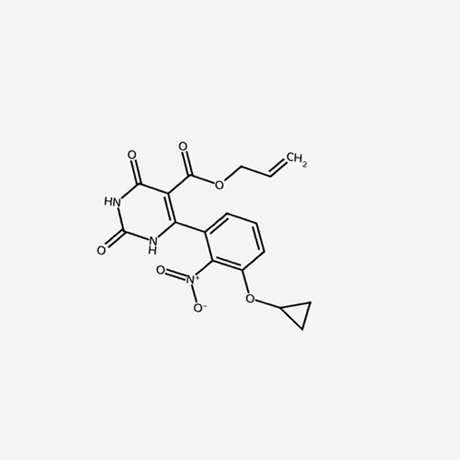 C=CCOC(=O)c1c(-c2cccc(OC3CC3)c2[N+](=O)[O-])[nH]c(=O)[nH]c1=O